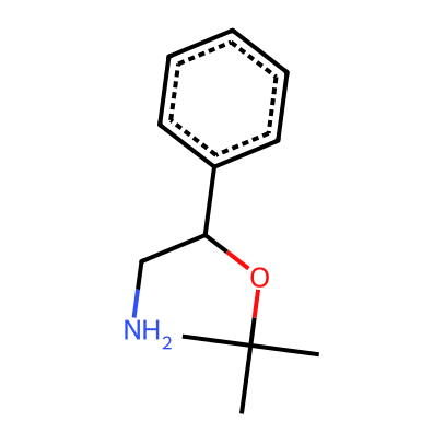 CC(C)(C)OC(CN)c1ccccc1